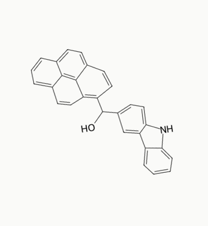 OC(c1ccc2[nH]c3ccccc3c2c1)c1ccc2ccc3cccc4ccc1c2c34